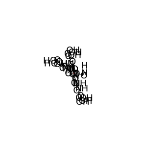 CNC(=O)CCCCC(=O)NC(COCCC(=O)NCCCNC(=O)CCCCOC1OC(C)C(O)C(O)C1O)(COCCC(=O)NCCCNC(=O)CCCCOC1OC(C)C(O)C(O)C1O)COCCC(=O)NCCCNC(=O)CCCCOC1OC(C)C(O)C(O)C1O